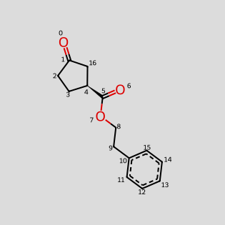 O=C1CC[C@H](C(=O)OCCc2ccccc2)C1